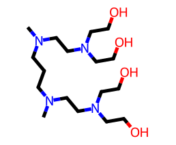 CN(CCCN(C)CCN(CCO)CCO)CCN(CCO)CCO